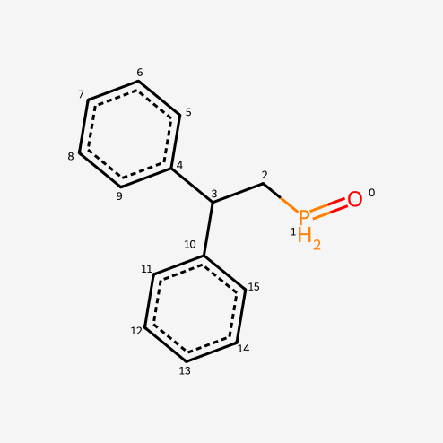 O=[PH2]CC(c1ccccc1)c1ccccc1